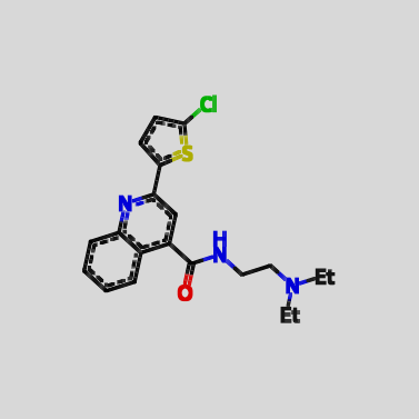 CCN(CC)CCNC(=O)c1cc(-c2ccc(Cl)s2)nc2ccccc12